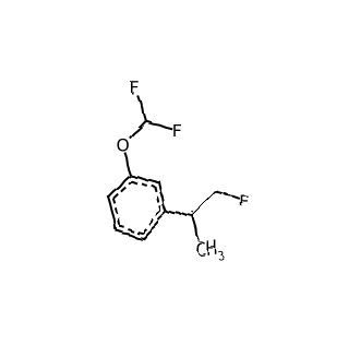 C[C](CF)c1cccc(OC(F)F)c1